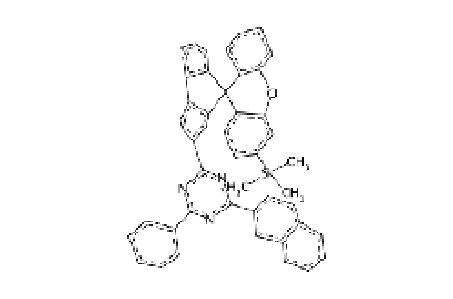 C[Si](C)(C)c1ccc2c(c1)Oc1ccccc1C21c2ccccc2-c2ccc(-c3nc(-c4ccccc4)nc(-c4ccc5ccccc5c4)n3)cc21